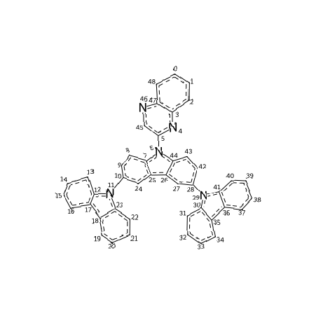 c1ccc2nc(-n3c4ccc(-n5c6ccccc6c6ccccc65)cc4c4cc(-n5c6ccccc6c6ccccc65)ccc43)cnc2c1